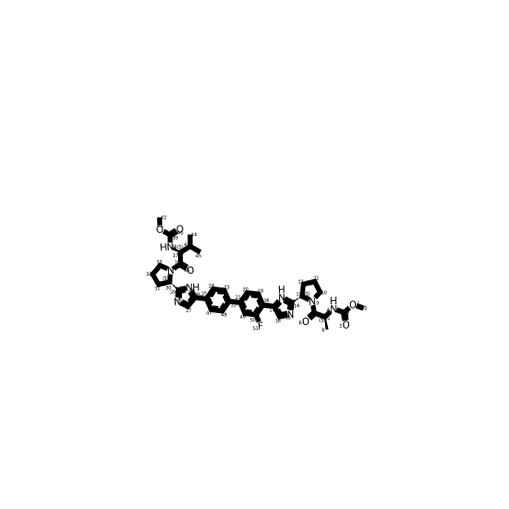 COC(=O)N[C@@H](C)C(=O)N1CCC[C@H]1c1ncc(-c2ccc(-c3ccc(-c4cnc([C@@H]5CCCN5C(=O)[C@@H](NC(=O)OC)C(C)C)[nH]4)cc3)cc2F)[nH]1